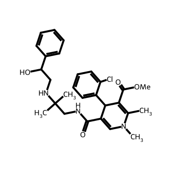 COC(=O)C1=C(C)N(C)C=C(C(=O)NCC(C)(C)NCC(O)c2ccccc2)C1c1ccccc1Cl